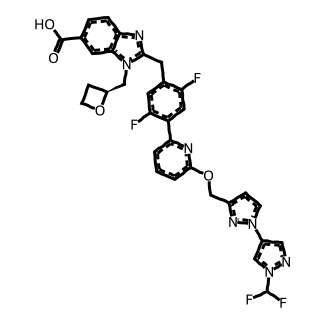 O=C(O)c1ccc2nc(Cc3cc(F)c(-c4cccc(OCc5ccn(-c6cnn(C(F)F)c6)n5)n4)cc3F)n(C[C@@H]3CCO3)c2c1